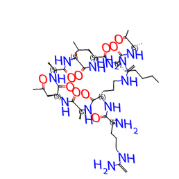 C=C(N)NCCC[C@H](NC(=O)[C@@H](N)CCCNC(=C)N)C(=O)N[C@@H](C)C(=O)N[C@@H](CC(C)=O)C(=O)N[C@@H](C)C(=O)N[C@@H](C)C(=O)N[C@@H](CC(C)C)C(=O)N[C@@H](CCCCC)C(=O)N[C@@H](C)C(C)=O